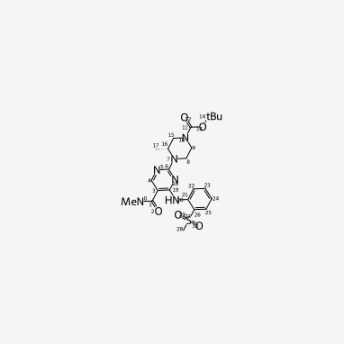 CNC(=O)c1cnc(N2CCN(C(=O)OC(C)(C)C)C[C@H]2C)nc1Nc1ccccc1S(C)(=O)=O